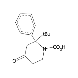 CC(C)(C)C1(c2ccccc2)CC(=O)CCN1C(=O)O